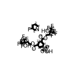 Fc1cccnc1.O=C(OCCC(O)(C(F)(F)F)C(F)(F)F)c1cc(C(=O)OCCC(O)(C(F)(F)F)C(F)(F)F)cc(S(=O)(=O)O)c1